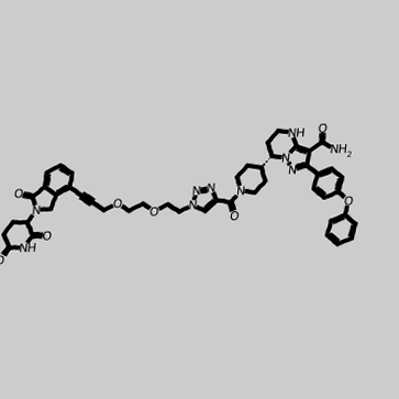 NC(=O)c1c(-c2ccc(Oc3ccccc3)cc2)nn2c1NCC[C@H]2C1CCN(C(=O)c2cn(CCOCCOCC#Cc3cccc4c3CN(C3CCC(=O)NC3=O)C4=O)nn2)CC1